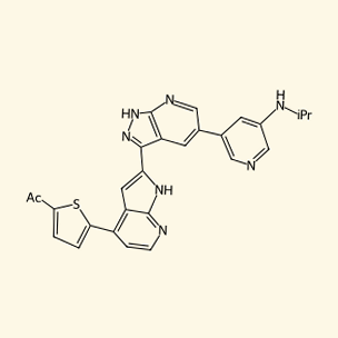 CC(=O)c1ccc(-c2ccnc3[nH]c(-c4n[nH]c5ncc(-c6cncc(NC(C)C)c6)cc45)cc23)s1